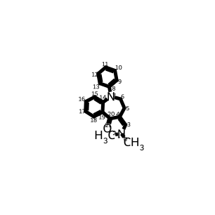 CN(C)/C=C1/CCN(c2ccccc2)c2ccccc2C1=O